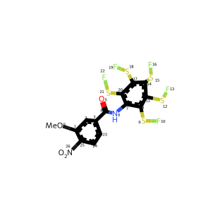 COc1cc(C(=O)Nc2c(SF)c(SF)c(SF)c(SF)c2SF)ccc1[N+](=O)[O-]